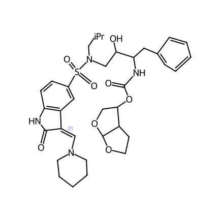 CC(C)CN(CC(O)C(Cc1ccccc1)NC(=O)OC1COC2OCCC12)S(=O)(=O)c1ccc2c(c1)/C(=C/N1CCCCC1)C(=O)N2